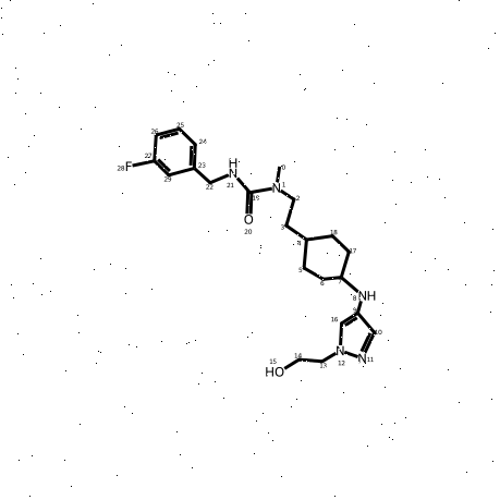 CN(CCC1CCC(Nc2cnn(CCO)c2)CC1)C(=O)NCc1cccc(F)c1